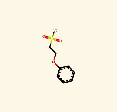 CCS(=O)(=O)CCOc1ccccc1